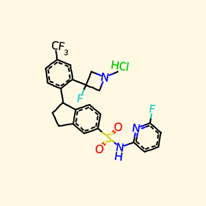 CN1CC(F)(c2cc(C(F)(F)F)ccc2C2CCc3cc(S(=O)(=O)Nc4cccc(F)n4)ccc32)C1.Cl